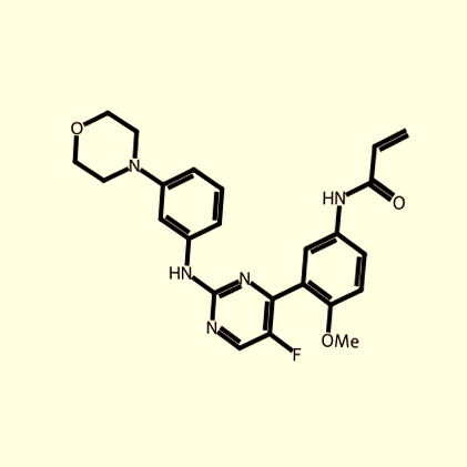 C=CC(=O)Nc1ccc(OC)c(-c2nc(Nc3cccc(N4CCOCC4)c3)ncc2F)c1